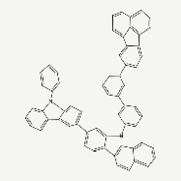 c1ccc(-n2c3ccccc3c3cc(-c4ccc5c6ccc7ccccc7c6n(-c6cccc(-c7cccc(-c8ccc9c(c8)-c8cccc%10cccc-9c8%10)c7)c6)c5c4)ccc32)cc1